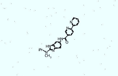 CC(C)N(C)c1nc2ccc(NC(=O)c3ccc(-c4ccccn4)nc3)cc2[nH]1